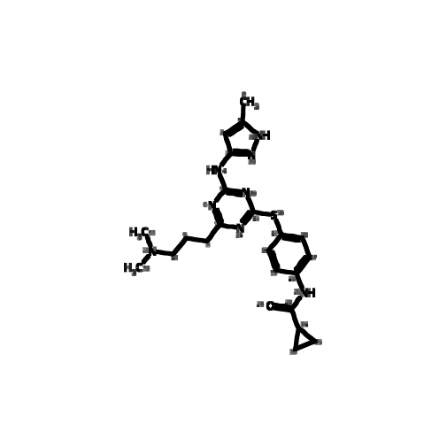 Cc1cc(Nc2nc(CCCN(C)C)nc(Sc3ccc(NC(=O)C4CC4)cc3)n2)n[nH]1